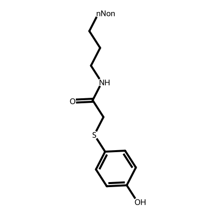 CCCCCCCCCCCCNC(=O)CSc1ccc(O)cc1